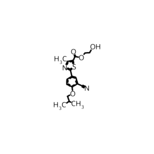 Cc1nc(-c2ccc(OCC(C)C)c(C#N)c2)sc1C(=O)OCCO